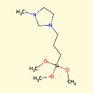 CO[Si](CCCN1CCN(C)C1)(OC)OC